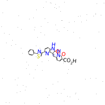 O=C1Nc2ccc(-c3csc(-c4ccccc4)n3)nc2/C1=C/c1ccc(C(=O)O)c(=O)[nH]1